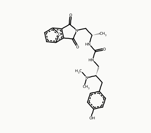 C[C@@H](CN1C(=O)c2c(c3ccc2o3)C1=O)NC(=O)NC[C@H](Cc1ccc(O)cc1)N(C)C